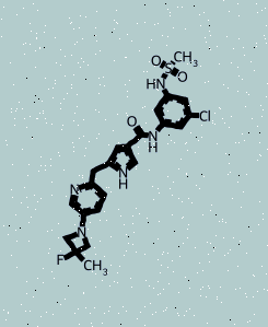 CC1(F)CN(c2ccc(Cc3cc(C(=O)Nc4cc(Cl)cc(NS(C)(=O)=O)c4)c[nH]3)nc2)C1